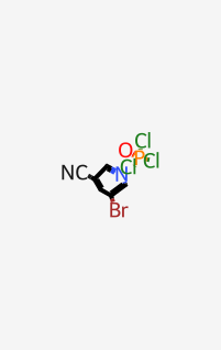 N#Cc1cncc(Br)c1.O=P(Cl)(Cl)Cl